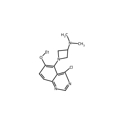 CCOc1ccc2ncnc(Cl)c2c1N1CC(N(C)C)C1